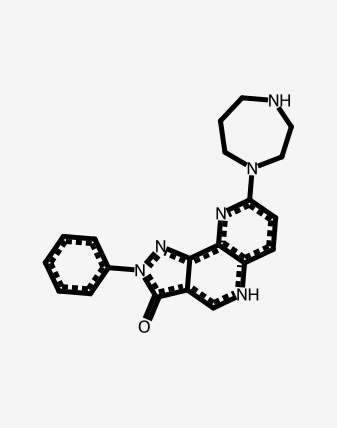 O=c1c2c[nH]c3ccc(N4CCCNCC4)nc3c-2nn1-c1ccccc1